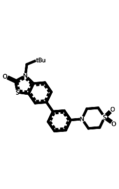 CC(C)(C)Cn1c(=O)sc2cc(-c3cccc(N4CCS(=O)(=O)CC4)c3)ccc21